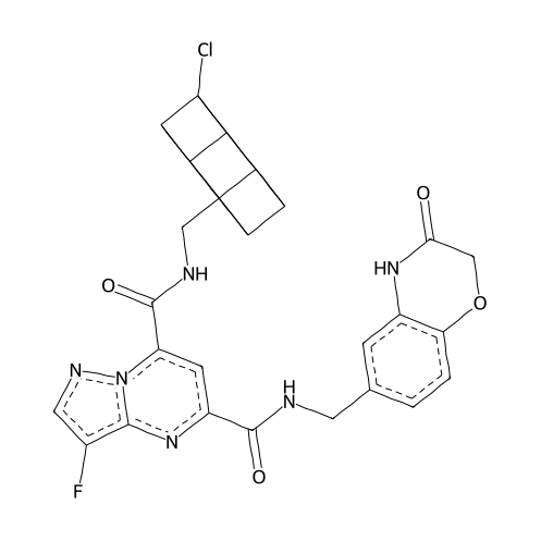 O=C1COc2ccc(CNC(=O)c3cc(C(=O)NCC45C6C7C4C4C5C6C74Cl)n4ncc(F)c4n3)cc2N1